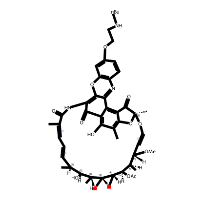 CCCCNCCOc1ccc2nc3c4c5c6c(C)c(O)c4c(=O)c(c-3oc2c1)NC(=O)/C(C)=C\C=C\[C@H](C)[C@H](O)[C@@H](C)[C@@H](O)[C@@H](C)[C@H](OC(C)=O)[C@H](C)[C@@H](OC)/C=C/O[C@@](C)(O6)C5=O